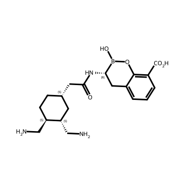 NC[C@H]1CC[C@H](CC(=O)N[C@H]2Cc3cccc(C(=O)O)c3OB2O)C[C@@H]1CN